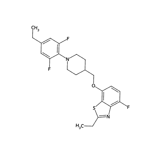 CCc1cc(F)c(N2CCC(COc3ccc(F)c4nc(CC)sc34)CC2)c(F)c1